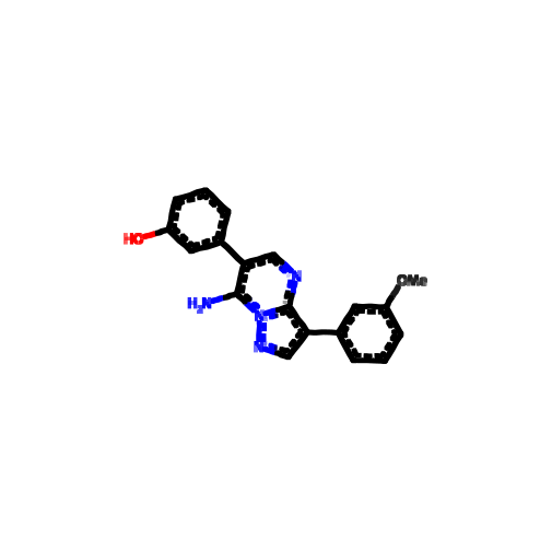 COc1cccc(-c2cnn3c(N)c(-c4cccc(O)c4)cnc23)c1